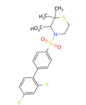 CC1(C)SCCN(S(=O)(=O)c2ccc(-c3ccc(F)cc3F)cc2)C1C(=O)O